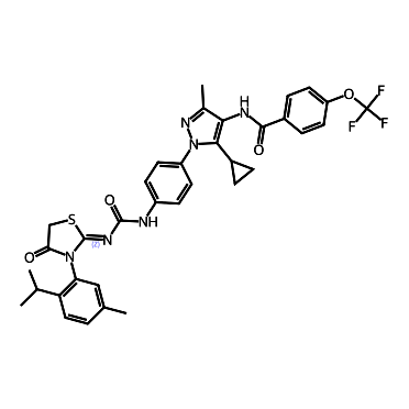 Cc1ccc(C(C)C)c(N2C(=O)CS/C2=N\C(=O)Nc2ccc(-n3nc(C)c(NC(=O)c4ccc(OC(F)(F)F)cc4)c3C3CC3)cc2)c1